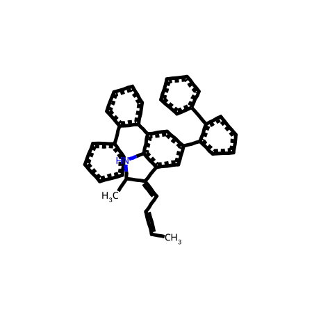 C/C=C\C=C1\c2cc(-c3ccccc3-c3ccccc3)cc(-c3ccccc3-c3ccccc3)c2NC1C